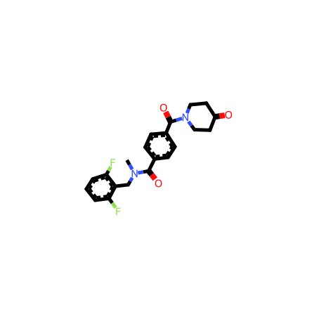 CN(Cc1c(F)cccc1F)C(=O)c1ccc(C(=O)N2CCC(=O)CC2)cc1